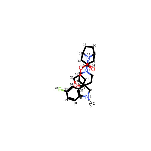 CC(=O)N1CC2(CCN(C3CC4CCC(C3)N4C(=O)O[C@H]3CCOC3)CC2)c2cc(F)ccc21